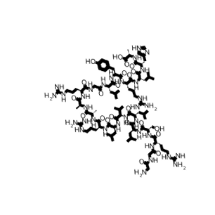 CC(C)C[C@H](NC(=O)CNC(=O)[C@H](CCCNC(=N)N)NC(=O)[C@H](C)NC(=O)[C@H](C)NC(=O)[C@H](CCCNC(=N)N)NC(=O)[C@H](CC(C)C)NC(=O)[C@@H](NC(=O)[C@H](CC(C)C)NC(=O)[C@H](CC(C)C)NC(=O)[C@H](CO)NC(=O)[C@H](CCCNC(=N)N)NC(=O)CNC(=O)CN)C(C)C)C(=O)N[C@@H](Cc1ccc(O)cc1)C(=O)N[C@@H](CCCNC(=N)N)C(=O)N[C@@H](CC(C)C)C(=O)N[C@@H](Cc1c[nH]cn1)C(=O)N[C@@H](C)C(=O)O